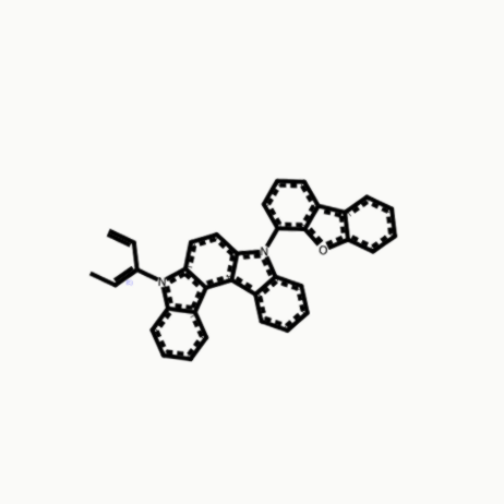 C=C/C(=C\C)n1c2ccccc2c2c3c4ccccc4n(-c4cccc5c4oc4ccccc45)c3ccc21